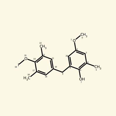 COc1cc(C)c(O)c(Cc2cc(C)c(OI)c(C)c2)c1